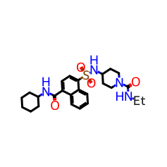 CCNC(=O)N1CCC(NS(=O)(=O)c2ccc(C(=O)NC3CCCCC3)c3ccccc23)CC1